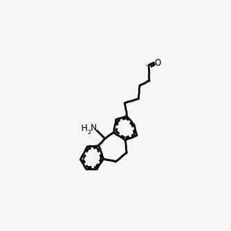 NC1c2ccccc2CCc2ccc(CCCC[C]=O)cc21